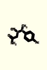 CC(=O)c1ccc(N(C)N(CC(N)=O)N=O)cc1